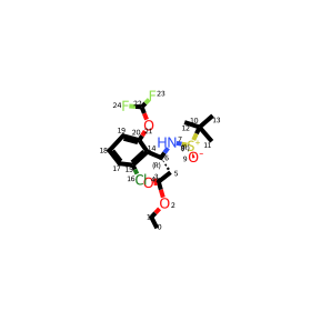 CCOC(=O)C[C@@H](N[S@@+]([O-])C(C)(C)C)c1c(Cl)cccc1OC(F)F